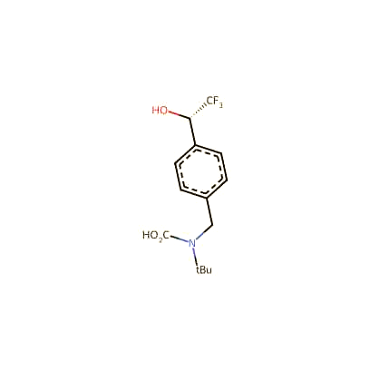 CC(C)(C)N(Cc1ccc([C@H](O)C(F)(F)F)cc1)C(=O)O